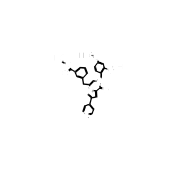 CCOC(=O)c1cccc(Cc2cn(Cc3ccc(OC)cc3OC)c(=O)c3cc(-c4ccncc4)cn23)c1